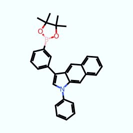 CC1(C)OB(c2cccc(-c3cn(-c4ccccc4)c4cc5ccccc5cc34)c2)OC1(C)C